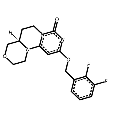 O=c1nc(OCc2cccc(F)c2F)cc2n1CC[C@@H]1COCCN21